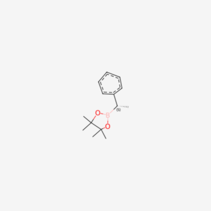 C[C@H](B1OC(C)(C)C(C)(C)O1)c1ccccc1